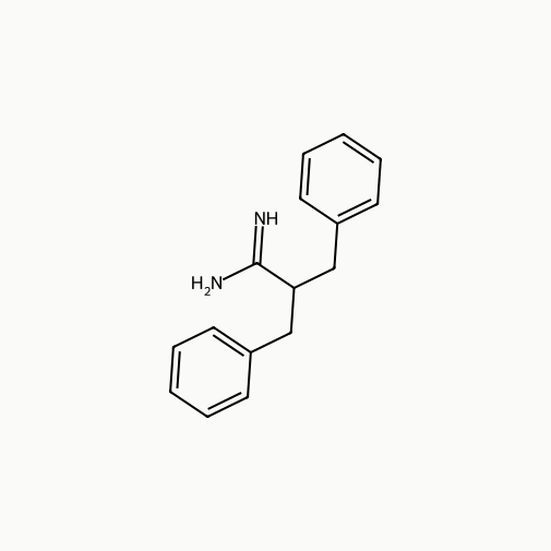 N=C(N)C(Cc1ccccc1)Cc1ccccc1